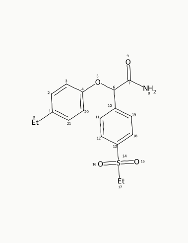 CCc1ccc(OC(C(N)=O)c2ccc(S(=O)(=O)CC)cc2)cc1